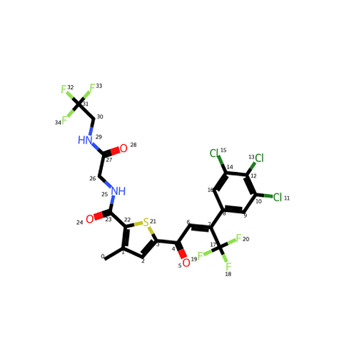 Cc1cc(C(=O)C=C(c2cc(Cl)c(Cl)c(Cl)c2)C(F)(F)F)sc1C(=O)NCC(=O)NCC(F)(F)F